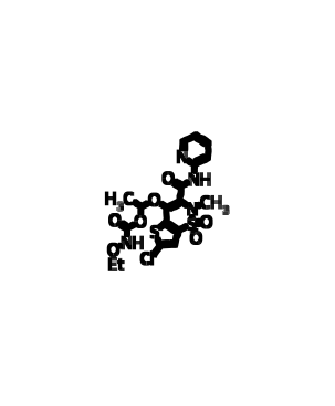 CCONC(=O)OC(C)OC1=C(C(=O)Nc2ccccn2)N(C)S(=O)(=O)c2cc(Cl)sc21